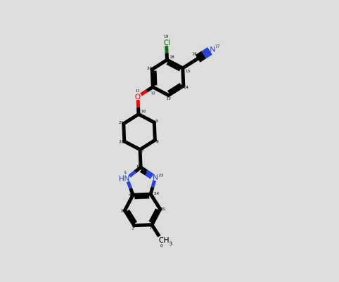 Cc1ccc2[nH]c(C3CCC(Oc4ccc(C#N)c(Cl)c4)CC3)nc2c1